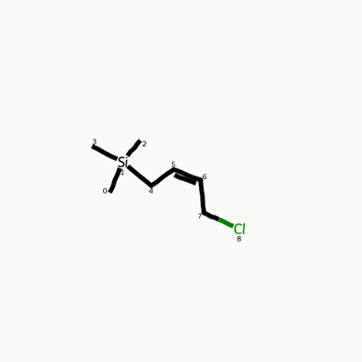 C[Si](C)(C)C/C=C\CCl